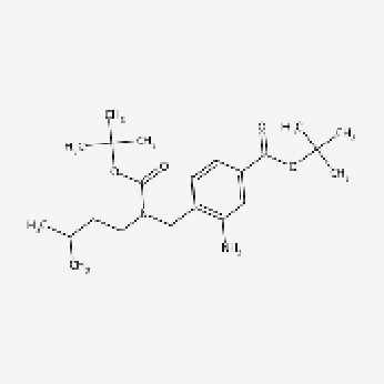 CC(C)CCN(Cc1ccc(C(=O)OC(C)(C)C)cc1N)C(=O)OC(C)(C)C